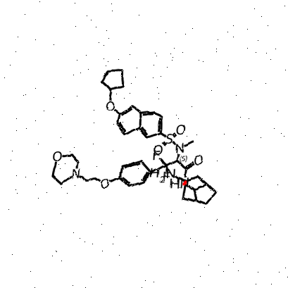 CN([C@@H](C(=O)NC1C2CCC1CC(N)C2)C(F)(F)c1ccc(OCCN2CCOCC2)cc1)S(=O)(=O)c1ccc2cc(OC3CCCC3)ccc2c1